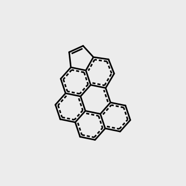 C1=Cc2cc3ccc4ccc5cccc6c7ccc1c2c7c3c4c56